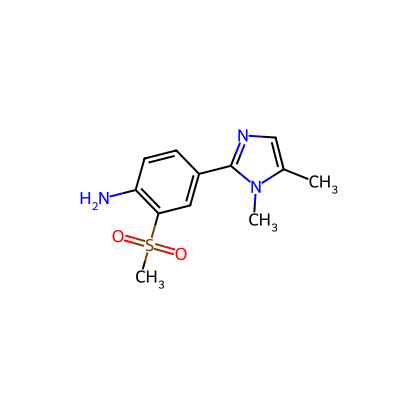 Cc1cnc(-c2ccc(N)c(S(C)(=O)=O)c2)n1C